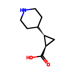 O=C(O)[C@@H]1C[C@H]1C1CCNCC1